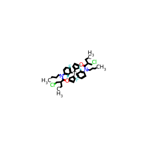 CCCCN(C(=O)C(CC)CCl)c1ccc(F)[c]([Ti]([C]2=CC=CC2)([C]2=CC=CC2)[c]2c(F)ccc(N(CCCC)C(=O)C(CC)CCl)c2F)c1F